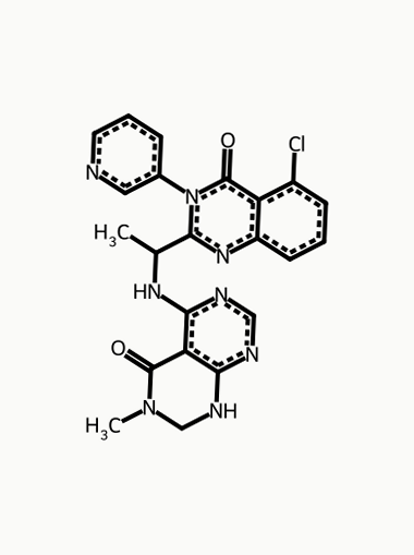 CC(Nc1ncnc2c1C(=O)N(C)CN2)c1nc2cccc(Cl)c2c(=O)n1-c1cccnc1